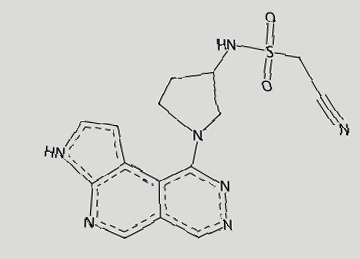 N#CCS(=O)(=O)NC1CCN(c2nncc3cnc4[nH]ccc4c23)C1